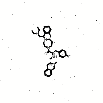 CCN(CC)CC(c1ccccc1F)N1CCCN(C(=O)[C@@H](Cc2ccc(Cl)cc2)NC[C@H]2Cc3ccccc3CN2C)CC1